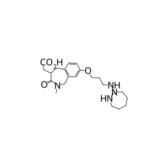 CN1Cc2cc(OCCCNN3CCCCCN3)ccc2CC(CC(=O)O)C1=O